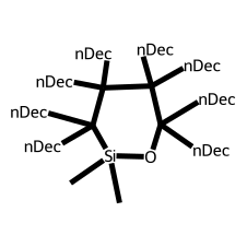 CCCCCCCCCCC1(CCCCCCCCCC)O[Si](C)(C)C(CCCCCCCCCC)(CCCCCCCCCC)C(CCCCCCCCCC)(CCCCCCCCCC)C1(CCCCCCCCCC)CCCCCCCCCC